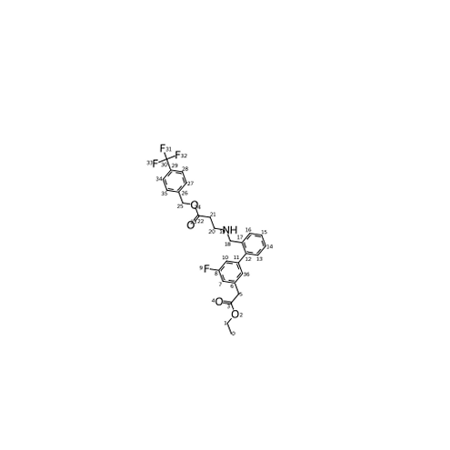 CCOC(=O)Cc1cc(F)cc(-c2ccccc2CNCCC(=O)OCc2ccc(C(F)(F)F)cc2)c1